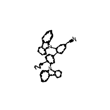 N#Cc1ccc(-c2ccc(C#N)c(-n3c4ccccc4c4ccccc43)c2)c(-n2c3ccccc3c3ccccc32)c1